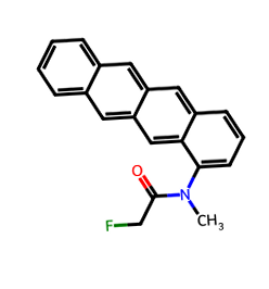 CN(C(=O)CF)c1cccc2cc3cc4ccccc4cc3cc12